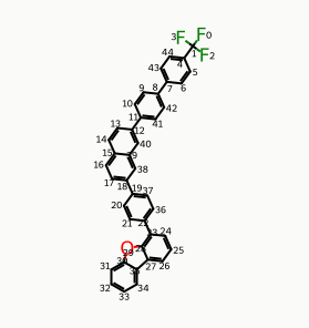 FC(F)(F)c1ccc(-c2ccc(-c3ccc4ccc(-c5ccc(-c6cccc7c6oc6ccccc67)cc5)cc4c3)cc2)cc1